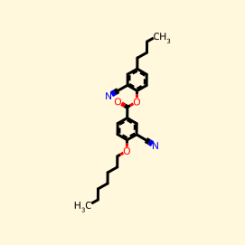 CCCCCCCOc1ccc(C(=O)Oc2ccc(CCCC)cc2C#N)cc1C#N